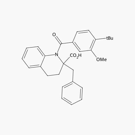 COc1cc(C(=O)N2c3ccccc3CCC2(Cc2ccccc2)C(=O)O)ccc1C(C)(C)C